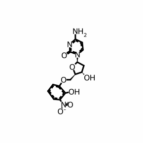 Nc1ccn([C@H]2C[C@H](O)[C@@H](COc3cccc([N+](=O)[O-])c3O)O2)c(=O)n1